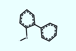 [CH2]Sc1ccccc1-c1ccccc1